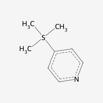 CS(C)(C)c1ccncc1